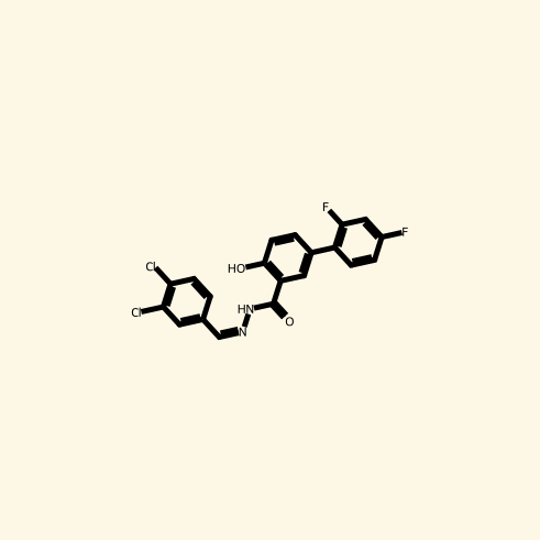 O=C(N/N=C\c1ccc(Cl)c(Cl)c1)c1cc(-c2ccc(F)cc2F)ccc1O